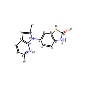 Cc1ccc2cc(C)n(-c3ccc4[nH]c(=O)sc4c3)c2n1